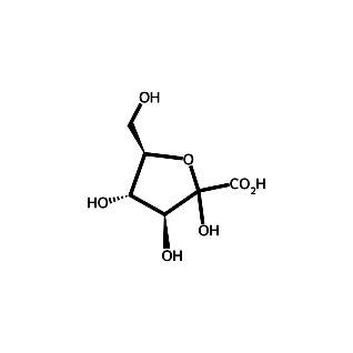 O=C(O)C1(O)O[C@H](CO)[C@@H](O)[C@@H]1O